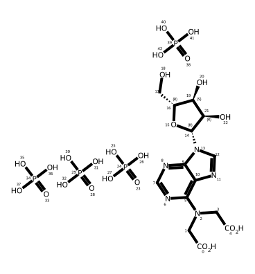 O=C(O)CN(CC(=O)O)c1ncnc2c1ncn2[C@@H]1O[C@H](CO)[C@@H](O)[C@H]1O.O=P(O)(O)O.O=P(O)(O)O.O=P(O)(O)O.O=P(O)(O)O